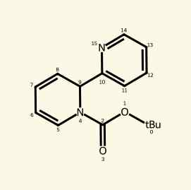 CC(C)(C)OC(=O)N1C=CC=CC1c1ccccn1